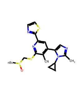 CCCC[S+]([O-])CSc1nc(-c2nccs2)cc(-c2cnc(C)n2C2CC2)c1C#N